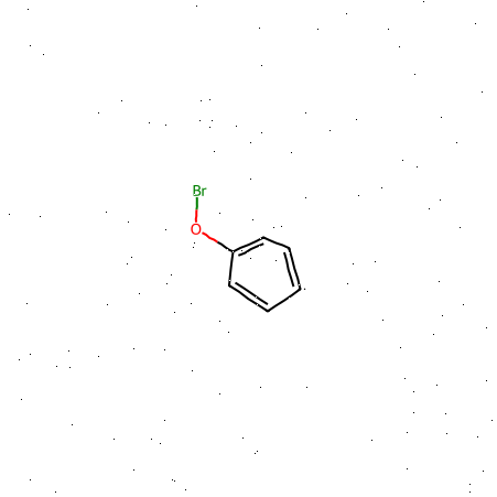 BrOc1cc[c]cc1